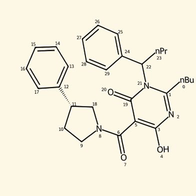 CCCCc1nc(O)c(C(=O)N2CC[C@H](c3ccccc3)C2)c(=O)n1C(CCC)c1ccccc1